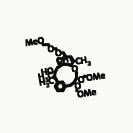 CC[C@H](/C=C(/C)C1C[C@@H](O)C[C@H](O)C(C)(C)c2cccc(c2)C[C@@H](OCOC)[C@H](OCOC)CO1)COCOCCOC